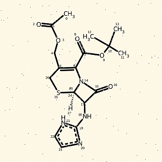 CC(=O)OCC1=C(C(=O)OC(C)(C)C)N2C(=O)C(Nc3ncc[nH]3)[C@H]2SC1